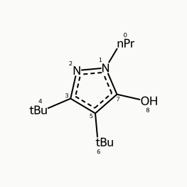 CCCn1nc(C(C)(C)C)c(C(C)(C)C)c1O